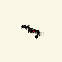 O=S(=O)(Nc1ccc(C[C@@H]2CC[C@H]([C@H](O)COc3ccccc3)N2)cc1)c1ccc(-c2nc(-c3ccc(C(F)(F)F)cc3)cs2)cc1